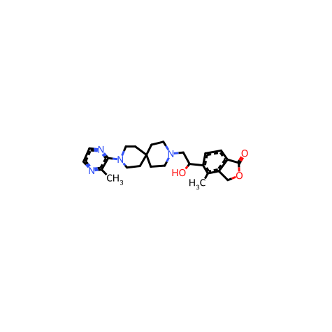 Cc1nccnc1N1CCC2(CCN(CC(O)c3ccc4c(c3C)COC4=O)CC2)CC1